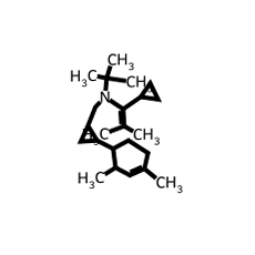 CC1=CC(C)C(C2CC2CN(C(=C(C)C)C2CC2)C(C)(C)C)CC1